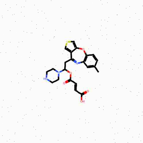 Cc1ccc2c(c1)N=C(CC(OC(=O)/C=C/C(=O)O)N1CCNCC1)c1cscc1O2